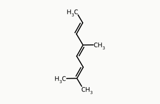 C/C=C/C(C)=C/C=C(C)C